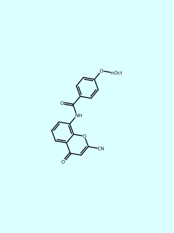 CCCCCCCCOc1ccc(C(=O)Nc2cccc3c(=O)cc(C#N)oc23)cc1